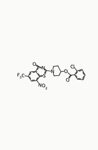 O=C(OC1CCN(c2nc(=O)c3cc(C(F)(F)F)cc([N+](=O)[O-])c3s2)CC1)c1ccccc1Cl